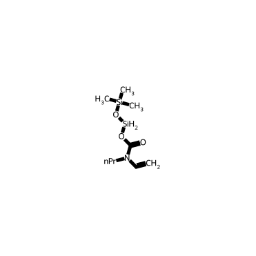 C=CN(CCC)C(=O)O[SiH2]O[Si](C)(C)C